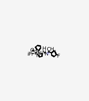 C/C(=N\Nc1ccnn1-c1ccccc1S(=O)(=O)C(C)C)c1ccc(F)cc1